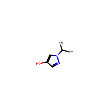 CC(C)C(C#N)n1cc(O)cn1